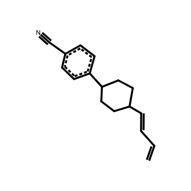 C=CC=CC1CCC(c2ccc(C#N)cc2)CC1